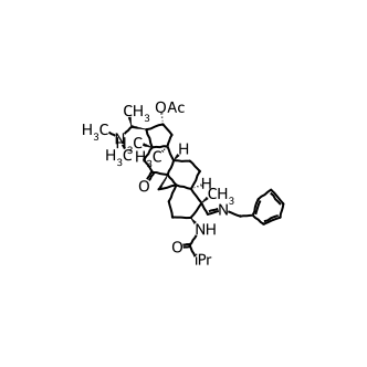 CC(=O)O[C@@H]1C[C@@]2(C)[C@@H]3CC[C@@H]4C5(CC[C@H](NC(=O)C(C)C)[C@@]4(C)/C=N/Cc4ccccc4)C[C@@]35C(=O)C[C@]2(C)[C@H]1[C@H](C)N(C)C